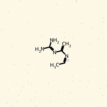 C=C(N=C(N)N)/N=C\C